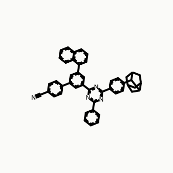 N#Cc1ccc(-c2cc(-c3nc(-c4ccccc4)nc(-c4ccc(C5C6CC7CC(C6)C5C7)cc4)n3)cc(-c3cccc4ccccc34)c2)cc1